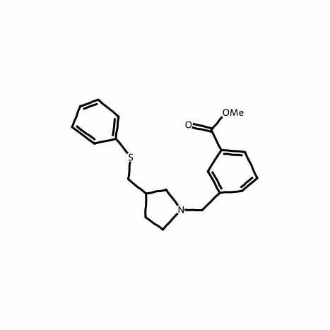 COC(=O)c1cccc(CN2CCC(CSc3ccccc3)C2)c1